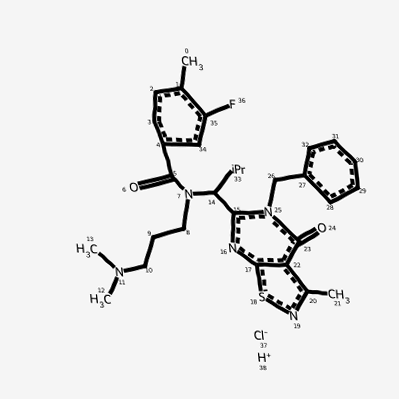 Cc1ccc(C(=O)N(CCCN(C)C)C(c2nc3snc(C)c3c(=O)n2Cc2ccccc2)C(C)C)cc1F.[Cl-].[H+]